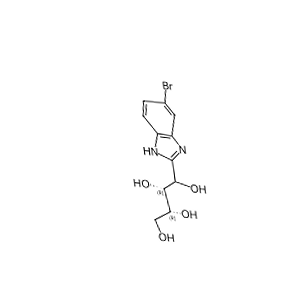 OC[C@@H](O)[C@H](O)C(O)c1nc2cc(Br)ccc2[nH]1